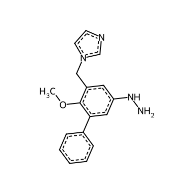 COc1c(Cn2ccnc2)cc(NN)cc1-c1ccccc1